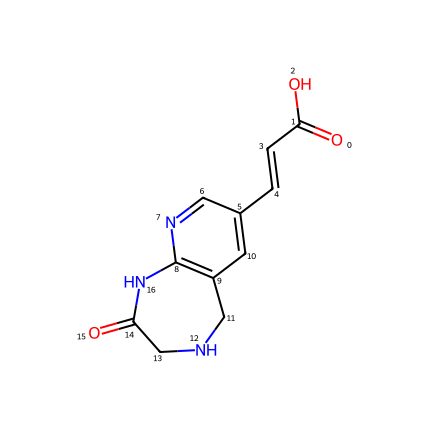 O=C(O)/C=C/c1cnc2c(c1)CNCC(=O)N2